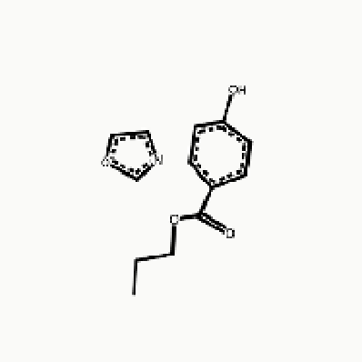 CCCOC(=O)c1ccc(O)cc1.c1cocn1